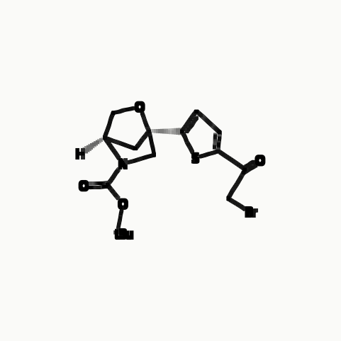 CC(C)(C)OC(=O)N1C[C@@]2(c3ccc(C(=O)CBr)s3)C[C@@H]1CO2